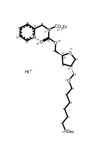 CCCCCCCCCCCCCCCCOC[C@H]1CO[C@H](COC(=O)N(Cc2ccccn2)C(=O)OCC)C1.I